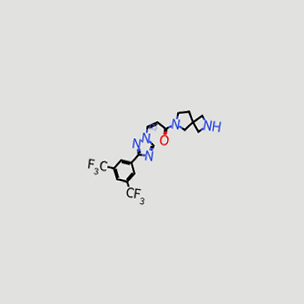 O=C(/C=C\n1cnc(-c2cc(C(F)(F)F)cc(C(F)(F)F)c2)n1)N1CCC2(CNC2)C1